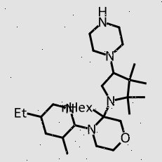 CCCCCCC1(N2CC(N3CCNCC3)C(C)(C)C2(C)C)COCCN1C1[N]CC(CC)CC1C